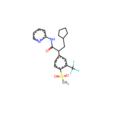 CS(=O)(=O)c1ccc(C(CC2CCCC2)C(=O)Nc2ccccn2)cc1C(F)(F)F